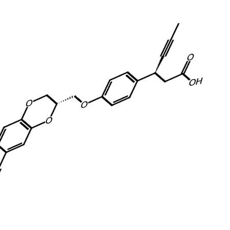 CC#C[C@@H](CC(=O)O)c1ccc(OC[C@H]2COc3ccc(C#N)cc3O2)cc1